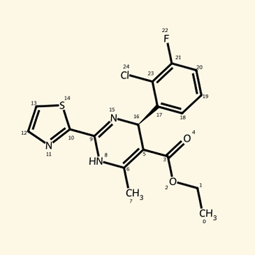 CCOC(=O)C1=C(C)NC(c2nccs2)=N[C@H]1c1cccc(F)c1Cl